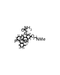 CNCCOc1cc(Cl)c(-c2nc3ccc(F)cn3c2Nc2c(C)cccc2C)c(OCC(N)=O)c1